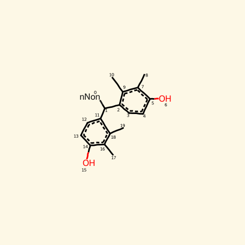 CCCCCCCCCC(c1ccc(O)c(C)c1C)c1ccc(O)c(C)c1C